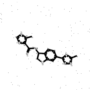 Cc1nc(-c2ccc3c(c2)OCC3NC(=O)c2ocnc2C)no1